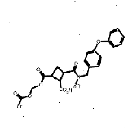 CCCN(Cc1ccc(Oc2ccccc2)cc1)C(=O)C1CC(C(=O)OCOC(=O)CC)C1C(=O)O